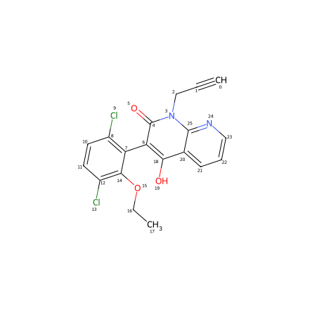 C#CCn1c(=O)c(-c2c(Cl)ccc(Cl)c2OCC)c(O)c2cccnc21